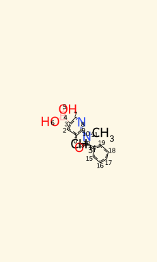 Cc1cc(B(O)O)cnc1N(C)C(=O)c1ccccc1